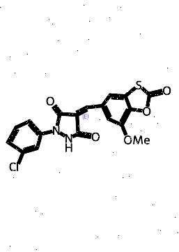 COc1cc(/C=C2\C(=O)NN(c3cccc(Cl)c3)C2=O)cc2sc(=O)oc12